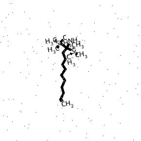 C=CCCCCCCCCC(N)([Si](C)(C)C)[Si](C)(C)C